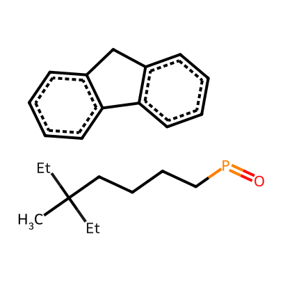 CCC(C)(CC)CCCCP=O.c1ccc2c(c1)Cc1ccccc1-2